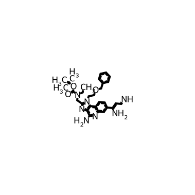 CCN(Cc1nc2c(N)nc3cc(/C(N)=C/C=N)ccc3c2n1CCOCc1ccccc1)C(=O)OC(C)(C)C